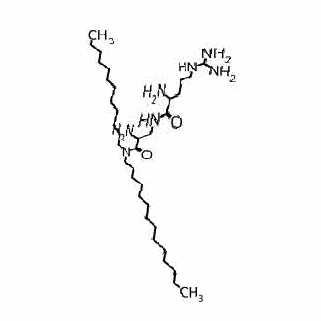 CCCCCCCCCCCCCCN(CCCCCCCCCCCC)C(=O)C(N)CNC(=O)C(N)CCCNC(N)N